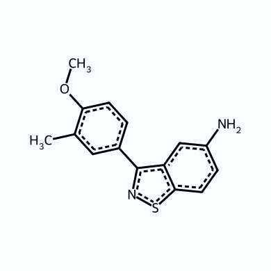 COc1ccc(-c2nsc3ccc(N)cc23)cc1C